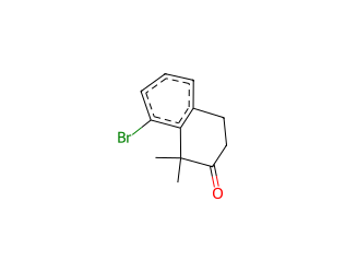 CC1(C)C(=O)CCc2cccc(Br)c21